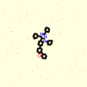 c1ccc(-c2nc(-c3ccccc3)c3c4ccc(-c5ccc6oc7ccccc7c6c5)cc4n(-c4ccccc4)c3n2)cc1